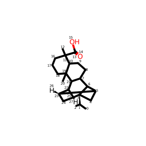 CC(C)[C@]12CC3C1C1CCC4C(C)(C(=O)O)CCCC4(C)C1C1[C@H]3C[C@H]12